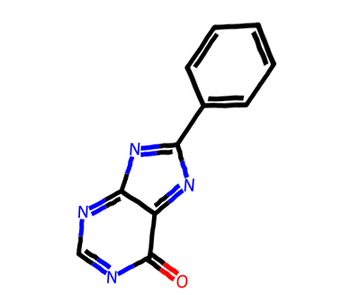 O=C1N=CN=C2N=C(c3ccccc3)N=C12